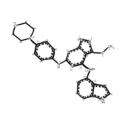 CSc1n[nH]c2nc(Nc3ccc(N4CCOCC4)cc3)nc(Nc3cccc4[nH]ccc34)c12